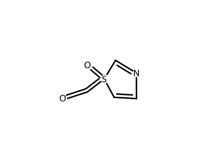 O=C=S1(=O)C=CN=C1